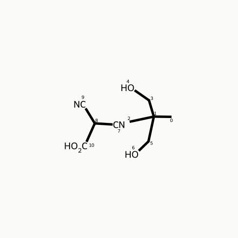 CC(C)(CO)CO.N#CC(C#N)C(=O)O